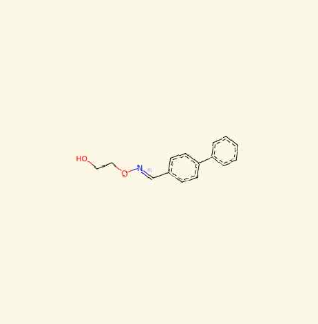 OCCO/N=C/c1ccc(-c2ccccc2)cc1